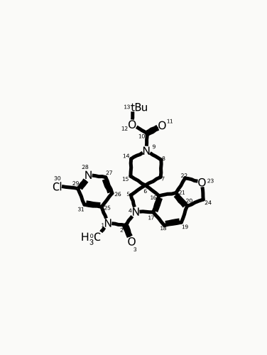 CN(C(=O)N1CC2(CCN(C(=O)OC(C)(C)C)CC2)c2c1ccc1c2COC1)c1ccnc(Cl)c1